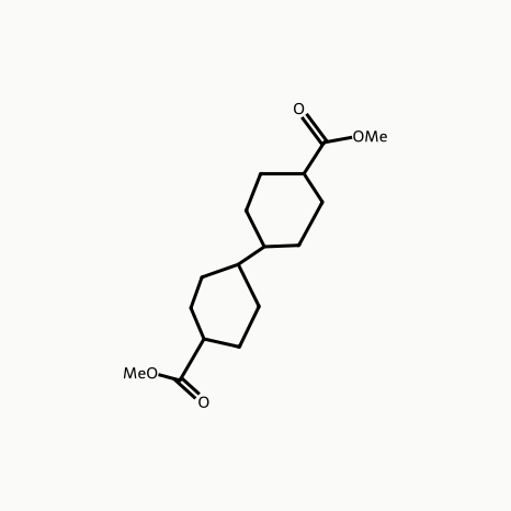 COC(=O)C1CCC(C2CCC(C(=O)OC)CC2)CC1